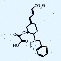 CCOC(=O)/C=C/C=C1CCC(N(C)Cc2ccccc2)CC1.O=C(O)C(=O)O